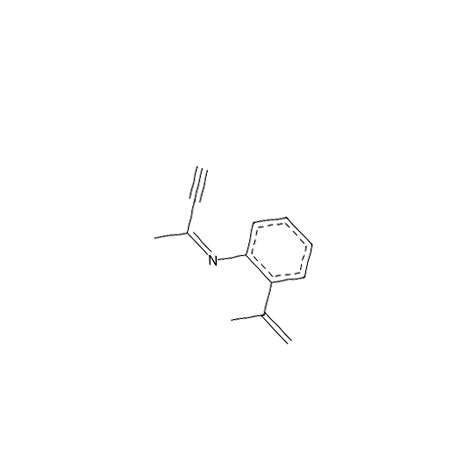 C#C/C(C)=N\c1ccccc1C(=C)C